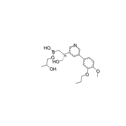 CCCOc1cc(-c2cncc([C@H](CO)CB(O)OCC(C)O)c2)ccc1OC